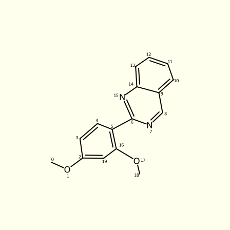 COc1ccc(-c2ncc3ccccc3n2)c(OC)c1